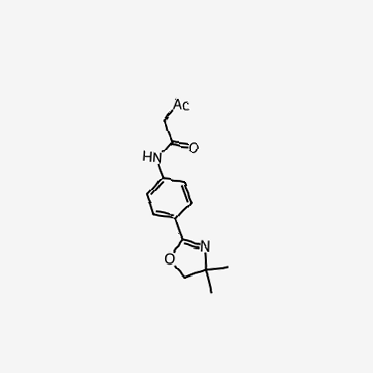 CC(=O)CC(=O)Nc1ccc(C2=NC(C)(C)CO2)cc1